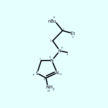 CCCCC(CC)CN(C)N1CSC(N)=N1